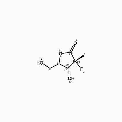 C[C@]1(F)C(=O)OC(CO)[C@H]1O